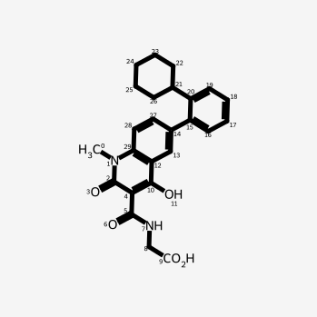 Cn1c(=O)c(C(=O)NCC(=O)O)c(O)c2cc(-c3ccccc3C3CCCCC3)ccc21